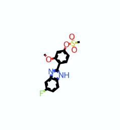 COc1cc(OS(C)(=O)=O)ccc1-c1nc2cc(F)ccc2[nH]1